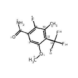 COc1cc(C(N)=O)c(F)c(C)c1C(F)(F)F